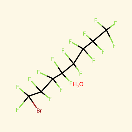 FC(F)(F)C(F)(F)C(F)(F)C(F)(F)C(F)(F)C(F)(F)C(F)(F)C(F)(F)Br.O